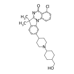 CC1(C)c2ccc(C3CCN(C4CCC(CO)CC4)CC3)cc2-n2c1nc(=O)c1c(Cl)cccc12